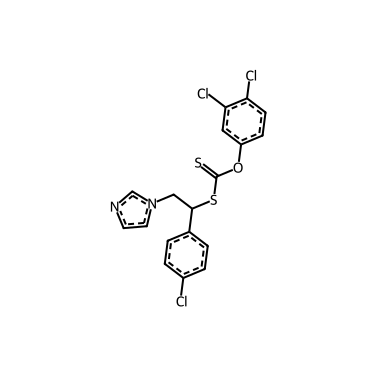 S=C(Oc1ccc(Cl)c(Cl)c1)SC(Cn1ccnc1)c1ccc(Cl)cc1